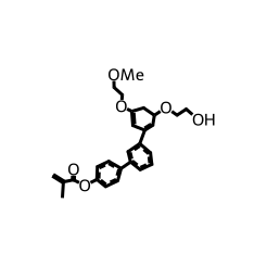 C=C(C)C(=O)Oc1ccc(-c2cccc(C3=CC(OCCO)CC(OCCOC)=C3)c2)cc1